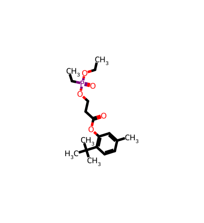 CCOP(=O)(CC)OCCC(=O)Oc1cc(C)ccc1C(C)(C)C